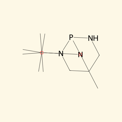 CC12CNP(N(C(C)(C)C)C1)N(C(C)(C)C)C2